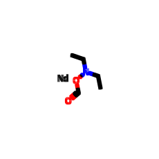 CCN(CC)OC=O.[Nd]